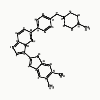 Cc1cc2cc(-c3cnc4ccc(-c5ccc(CN6CCN(C)CC6)cc5)nn34)sc2cc1C